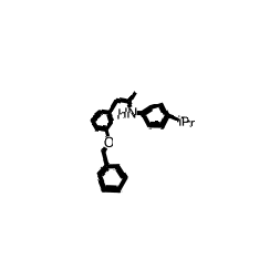 CC(Cc1cccc(OCc2ccccc2)c1)Nc1ccc(C(C)C)cc1